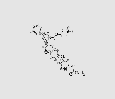 C[Si](C)(C)CCOCn1cc(-c2ccccc2)nc1C1COc2ccc(Oc3ccnc(CC(N)=O)c3)cc2C1